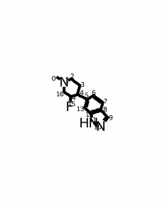 CN1CCC(c2ccc3cn[nH]c3c2)C(F)C1